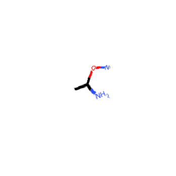 CC(N)O[N]